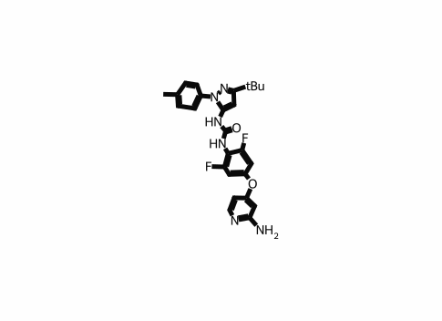 Cc1ccc(-n2nc(C(C)(C)C)cc2NC(=O)Nc2c(F)cc(Oc3ccnc(N)c3)cc2F)cc1